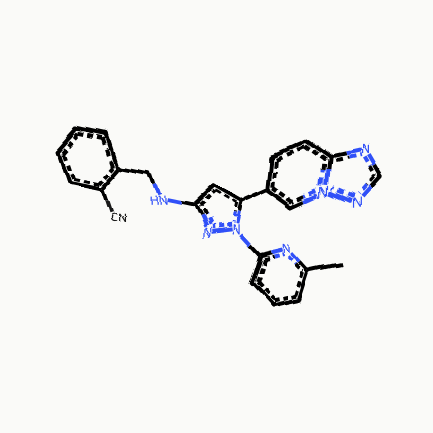 Cc1cccc(-n2nc(NCc3ccccc3C#N)cc2-c2ccc3ncnn3c2)n1